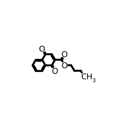 CCCCOC(=O)C1=CC(=O)c2ccccc2C1=O